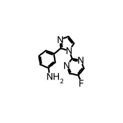 Nc1cccc(-c2nccn2-c2ncc(F)cn2)c1